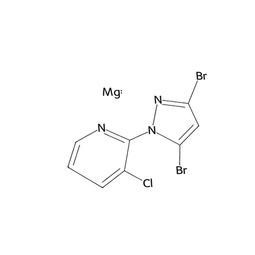 Clc1cccnc1-n1nc(Br)cc1Br.[Mg]